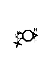 CC(C)(C)N1N=NC2CC[C@@H]3C[C@@H]3CCC21